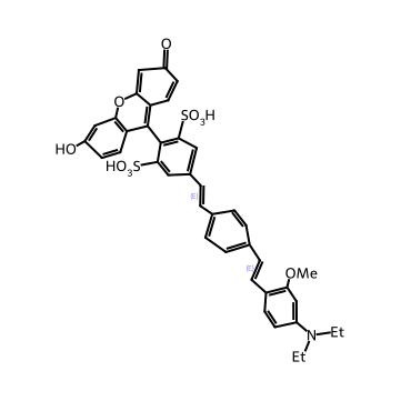 CCN(CC)c1ccc(/C=C/c2ccc(/C=C/c3cc(S(=O)(=O)O)c(-c4c5ccc(=O)cc-5oc5cc(O)ccc45)c(S(=O)(=O)O)c3)cc2)c(OC)c1